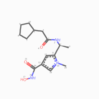 C[C@H](NC(=O)CC1CCCC1)c1cc(C(=O)NO)cn1C